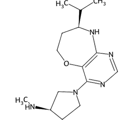 CN[C@@H]1CCN(c2ncnc3c2OCC[C@@H](C(C)C)N3)C1